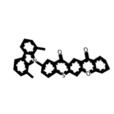 Cc1cccc2c3cccc(C)c3n(-c3ccc4sc5cc6oc7ccccc7c(=O)c6cc5c(=O)c4c3)c12